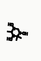 CC1N(O)CN(O)C(C)(C)N1O